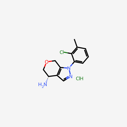 Cc1cccc(-n2ncc3c2COC[C@H]3N)c1Cl.Cl